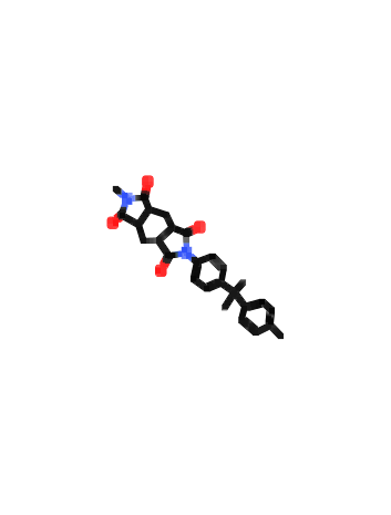 Cc1ccc(C(C)(C)c2ccc(N3C(=O)C4CC5C(=O)N(C)C(=O)C5CC4C3=O)cc2)cc1